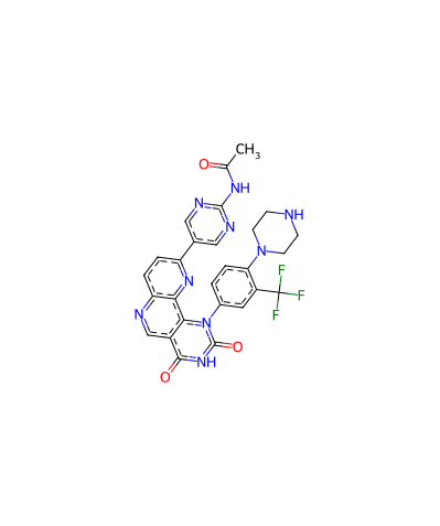 CC(=O)Nc1ncc(-c2ccc3ncc4c(=O)[nH]c(=O)n(-c5ccc(N6CCNCC6)c(C(F)(F)F)c5)c4c3n2)cn1